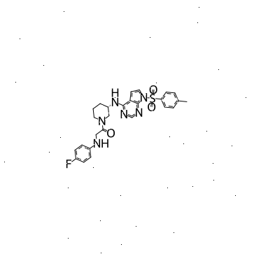 Cc1ccc(S(=O)(=O)n2ccc3c(N[C@H]4CCCN(C(=O)CNc5ccc(F)cc5)C4)ncnc32)cc1